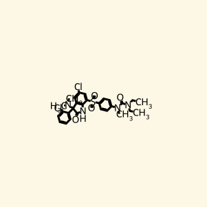 CCN(CC)C(=O)N(C)c1ccc(S(=O)(=O)c2cc(Cl)cc3c2NC(=O)C3(c2ccccc2Cl)N(C)C)cc1